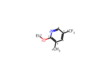 CCOc1ncc(C(F)(F)F)cc1C